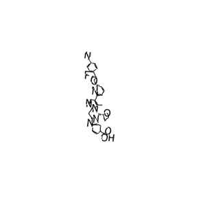 Cc1nc(Cc2nc3ccc(C(=O)O)cc3n2C[C@@H]2CCO2)ncc1-c1cccc(OCc2ccc(C#N)cc2F)n1